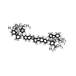 CC(C)c1ccc(N(c2ccc3cc4c(cc3c2)sc2c4ccc3c4cc5ccc(N(c6ccc(C(C)C)cc6)c6cccc7c6oc6c(C(C)(C)C)cccc67)cc5cc4sc32)c2cccc3c2oc2c(C(C)(C)C)cccc23)cc1